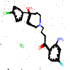 Cl.Nc1cc(F)ccc1C(=O)CCCN1CCC(O)(c2ccc(Cl)cc2)CC1